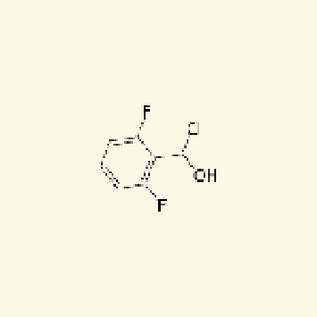 OC(Cl)c1c(F)cccc1F